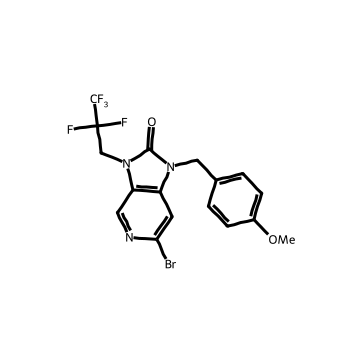 COc1ccc(Cn2c(=O)n(CC(F)(F)C(F)(F)F)c3cnc(Br)cc32)cc1